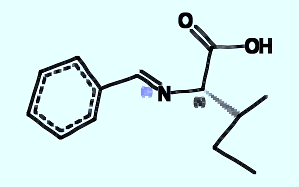 CCC(C)[C@H](/N=C/c1ccccc1)C(=O)O